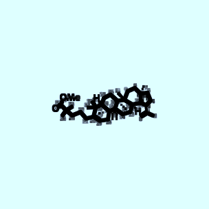 C=C(C)[C@@H]1CC[C@]2(C)CC[C@]3(C)[C@H](CC[C@@H]4[C@@]5(C)CC=C(CCCC(C)(C)C(=O)OC)C(C)(C)[C@@H]5CC[C@]43C)[C@@H]12